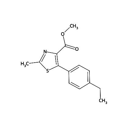 CCc1ccc(-c2sc(C)nc2C(=O)OC)cc1